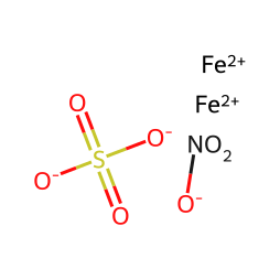 O=S(=O)([O-])[O-].O=[N+]([O-])[O-].[Fe+2].[Fe+2]